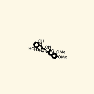 COc1ccc2cc(NC(O)C3=NO[C@@H]4[C@H](C3)[C@H](O)C=C[C@H]4O)c(=O)oc2c1OC